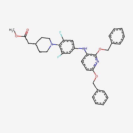 COC(=O)CC1CCN(c2c(F)cc(Nc3ccc(OCc4ccccc4)nc3OCc3ccccc3)cc2F)CC1